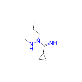 CCCN(NC)C(=N)C1CC1